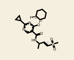 CC(/C=C/S(C)(=O)=O)NC(=O)c1cnc(C2CC2)nc1O[C@H]1CCCC[C@@H]1F